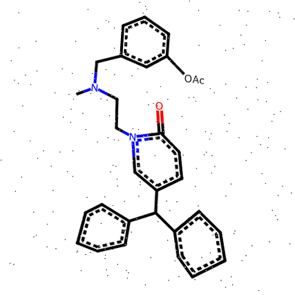 CC(=O)Oc1cccc(CN(C)CCn2cc(C(c3ccccc3)c3ccccc3)ccc2=O)c1